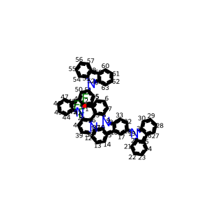 FC(F)(F)c1cccc(-n2c3ccccc3c3cc(-n4c5ccccc5c5ccccc54)ccc32)c1-c1ncccc1-n1c2ccccc2c2cc(-n3c4ccccc4c4ccccc43)ccc21